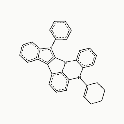 C1=C(N2c3ccccc3B3c4c(cccc42)-c2c3n(-c3ccccc3)c3ccccc23)CCCC1